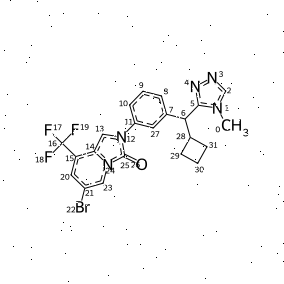 Cn1cnnc1C(c1cccc(-n2cc3c(C(F)(F)F)cc(Br)cn3c2=O)c1)C1CCC1